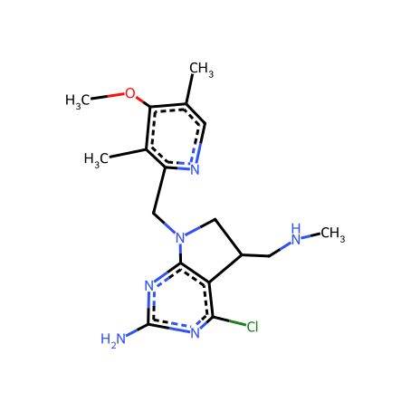 CNCC1CN(Cc2ncc(C)c(OC)c2C)c2nc(N)nc(Cl)c21